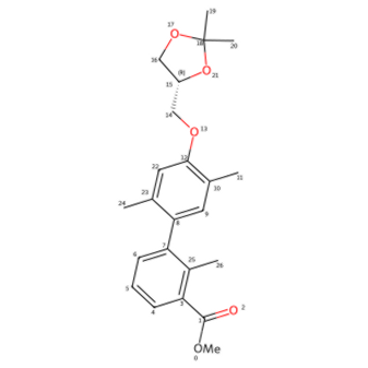 COC(=O)c1cccc(-c2cc(C)c(OC[C@@H]3COC(C)(C)O3)cc2C)c1C